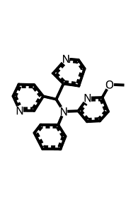 COc1cccc(N(c2ccccc2)C(c2cccnc2)c2cccnc2)n1